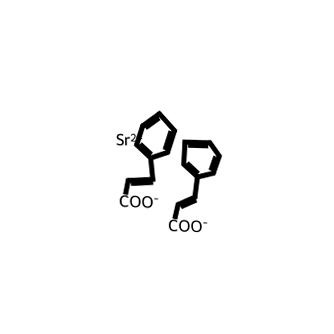 O=C([O-])C=Cc1ccccc1.O=C([O-])C=Cc1ccccc1.[Sr+2]